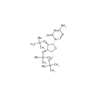 CC(C)(C)[Si](C)(C)OC[C@H]1O[C@@H](n2cnc(N)nc2=O)[C@H](O[Si](C)(C)C(C)(C)C)[C@@H]1O[Si](C)(C)C(C)(C)C